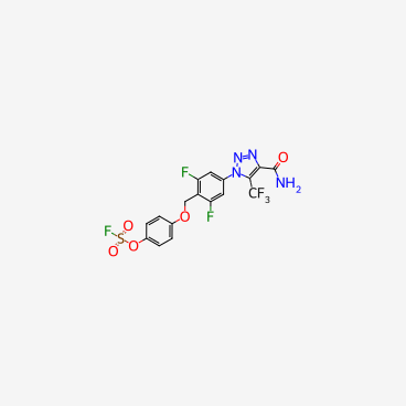 NC(=O)c1nnn(-c2cc(F)c(COc3ccc(OS(=O)(=O)F)cc3)c(F)c2)c1C(F)(F)F